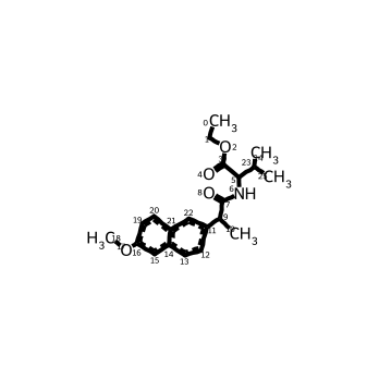 CCOC(=O)C(NC(=O)C(C)c1ccc2cc(OC)ccc2c1)C(C)C